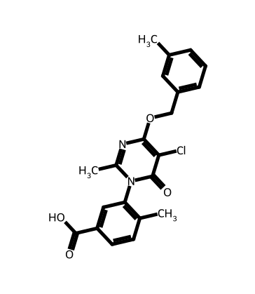 Cc1cccc(COc2nc(C)n(-c3cc(C(=O)O)ccc3C)c(=O)c2Cl)c1